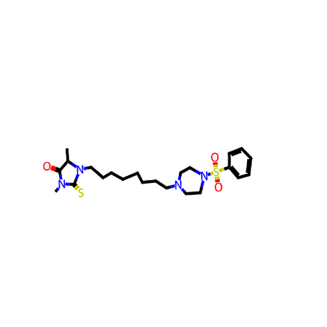 CC1C(=O)N(C)C(=S)N1CCCCCCCCN1CCN(S(=O)(=O)c2ccccc2)CC1